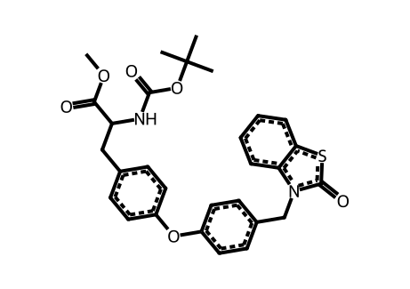 COC(=O)C(Cc1ccc(Oc2ccc(Cn3c(=O)sc4ccccc43)cc2)cc1)NC(=O)OC(C)(C)C